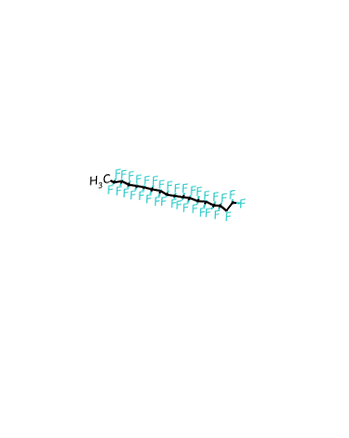 CC(F)(F)C(F)(F)C(F)(F)C(F)(F)C(F)(F)C(F)(F)C(F)(F)C(F)(F)C(F)(F)C(F)(F)C(F)(F)C(F)(F)C(F)(F)C(F)(F)C(F)(F)C(F)C(F)F